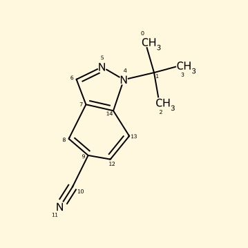 CC(C)(C)n1ncc2cc(C#N)ccc21